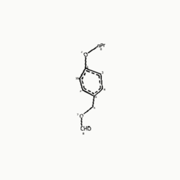 CCCOc1ccc(COC=O)cc1